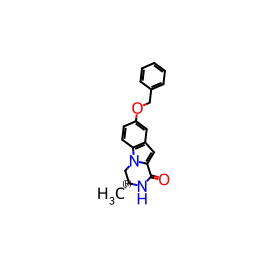 C[C@@H]1Cn2c(cc3cc(OCc4ccccc4)ccc32)C(=O)N1